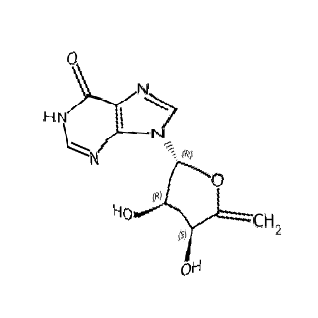 C=C1O[C@@H](n2cnc3c(=O)[nH]cnc32)[C@H](O)[C@@H]1O